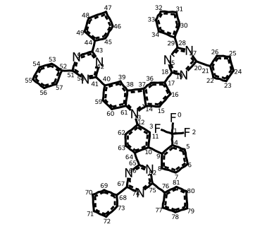 FC(F)(F)c1ccccc1-c1cc(-n2c3ccc(-c4nc(-c5ccccc5)nc(-c5ccccc5)n4)cc3c3cc(-c4nc(-c5ccccc5)nc(-c5ccccc5)n4)ccc32)ccc1-c1nc(-c2ccccc2)nc(-c2ccccc2)n1